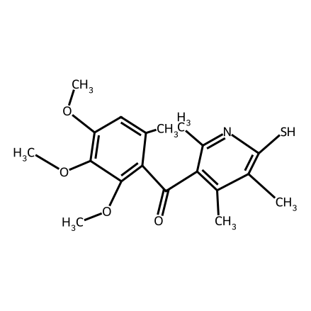 COc1cc(C)c(C(=O)c2c(C)nc(S)c(C)c2C)c(OC)c1OC